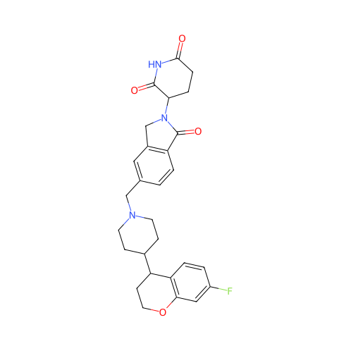 O=C1CCC(N2Cc3cc(CN4CCC(C5CCOc6cc(F)ccc65)CC4)ccc3C2=O)C(=O)N1